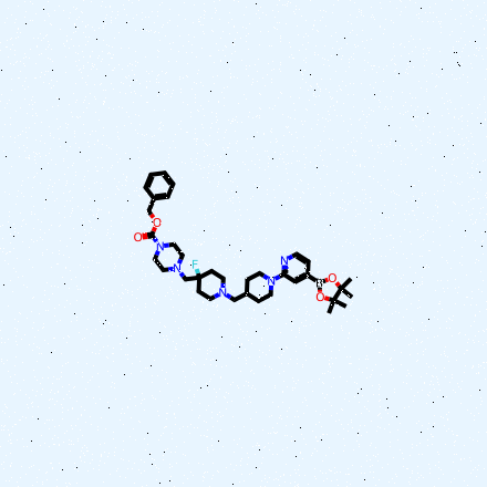 CC1(C)OB(c2ccnc(N3CCC(CN4CCC(F)(CN5CCN(C(=O)OCc6ccccc6)CC5)CC4)CC3)c2)OC1(C)C